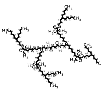 CCCCCC(CCCCC)CCCOC(=O)C(C)(C)CCCCCCN(CCCCCCC(C)(C)C(=O)OCCCC(CCCCC)CCCCC)CCNC(=O)CCC(=O)NCCN(CCCCCCC(C)(C)C(=O)OCCCC(CCCCC)CCCCC)CCCCCCC(C)(C)C(=O)OCCCC(CCCCC)CCCCC